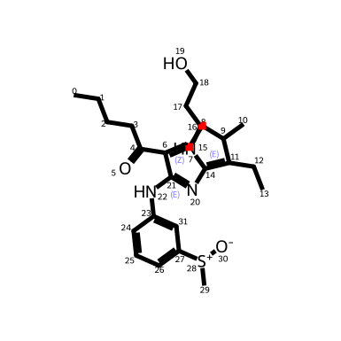 CCCCC(=O)C1=C\CC(C)/C(CC)=C(NCCCO)/N=C\1Nc1cccc([S+](C)[O-])c1